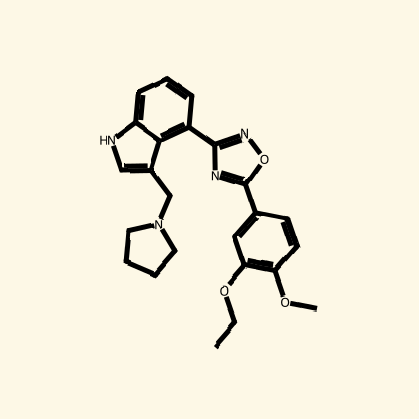 CCOc1cc(-c2nc(-c3cccc4[nH]cc(CN5CCCC5)c34)no2)ccc1OC